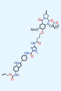 C=CCOC(=O)Nc1ccc2[nH]c(-c3ccc(NC(=O)c4nc(NC(=O)CCCOc5cc6c(cc5OC)C(=O)N5CC(=C)CC5C(OC5CCCCO5)N6C(=O)O)cn4C)cc3)cc2c1